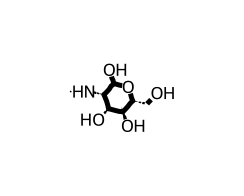 [NH][C@@H]1C(O)O[C@H](CO)[C@@H](O)[C@@H]1O